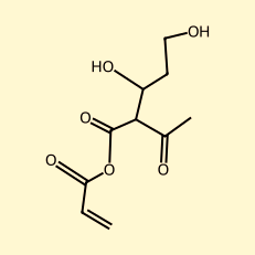 C=CC(=O)OC(=O)C(C(C)=O)C(O)CCO